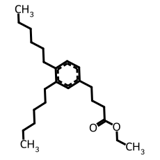 CCCCCCc1ccc(CCCC(=O)OCC)cc1CCCCCC